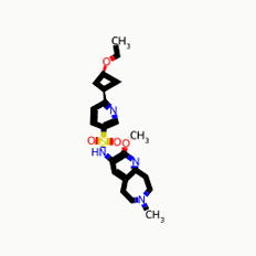 CCO[C@H]1C[C@@H](c2ccc(S(=O)(=O)Nc3cc4c(nc3OC)CCN(C)CC4)cn2)C1